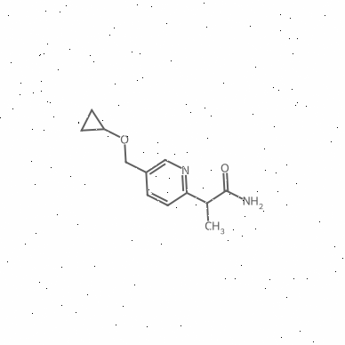 CC(C(N)=O)c1ccc(COC2CC2)cn1